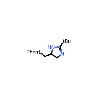 CCCCCCC1CN=C(C(C)(C)C)N1